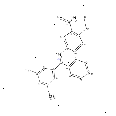 Cc1cc(F)cc(/C(=N/c2ccc3c(c2)C(=O)NCC3)c2ccncc2)c1